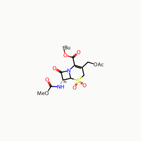 COC(=O)N[C@@H]1C(=O)N2C(C(=O)OC(C)(C)C)=C(COC(C)=O)CS(=O)(=O)C12